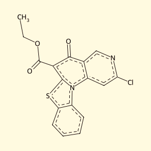 CCOC(=O)c1c(=O)c2cnc(Cl)cc2n2c1sc1ccccc12